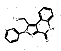 O=c1[nH]c2ccccc2c2c(CO)n(-c3ccccc3)nc12